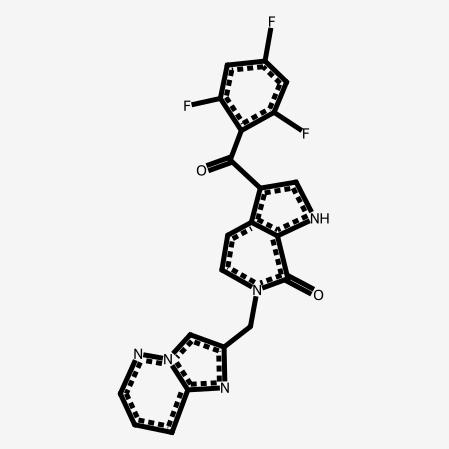 O=C(c1c(F)cc(F)cc1F)c1c[nH]c2c(=O)n(Cc3cn4ncccc4n3)ccc12